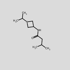 CC(C)CC(=O)NC1CN(C(C)C)C1